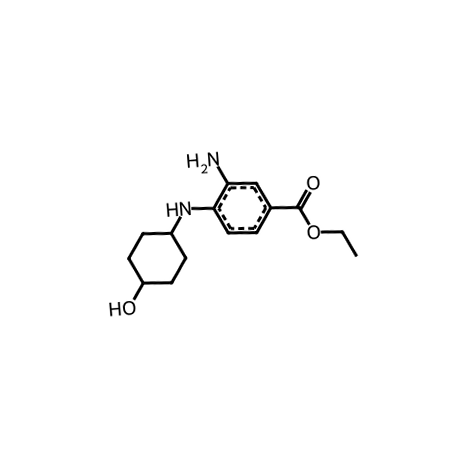 CCOC(=O)c1ccc(NC2CCC(O)CC2)c(N)c1